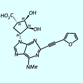 CNc1nc(C#Cc2ccco2)nc2c1ncn2[C@@H]1C[C@H](C(=O)O)[C@@H](O)[C@H]1O